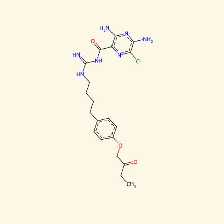 CCC(=O)COc1ccc(CCCCNC(=N)NC(=O)c2nc(Cl)c(N)nc2N)cc1